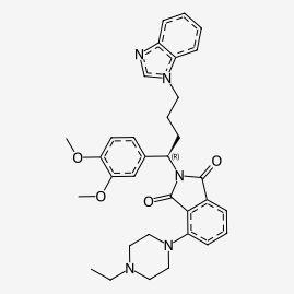 CCN1CCN(c2cccc3c2C(=O)N([C@H](CCCn2cnc4ccccc42)c2ccc(OC)c(OC)c2)C3=O)CC1